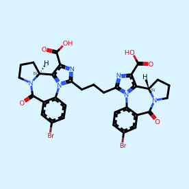 O=C(O)c1nc(CCCc2nc(C(=O)O)c3n2-c2ccc(Br)cc2C(=O)N2CCC[C@@H]32)n2c1[C@@H]1CCCN1C(=O)c1cc(Br)ccc1-2